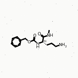 CNC(=O)[C@H](CCCN)NC(=O)OCc1ccccc1